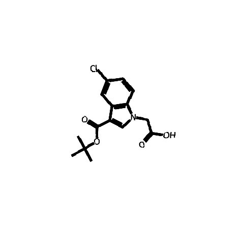 CC(C)(C)OC(=O)c1cn(CC(=O)O)c2ccc(Cl)cc12